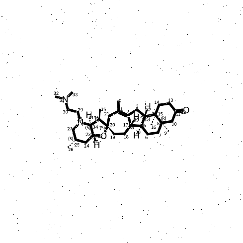 CC1=C2C[C@H]3[C@@H](CC[C@]4(C)CC(=O)CC[C@]34C)[C@@H]2CC[C@@]2(C1)O[C@@H]1C[C@H](C)CN(CCN(C)C)[C@H]1[C@H]2C